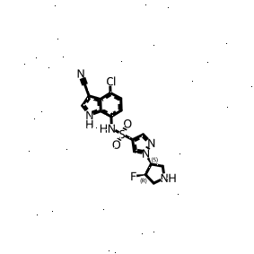 N#Cc1c[nH]c2c(NS(=O)(=O)c3cnn([C@H]4CNC[C@H]4F)c3)ccc(Cl)c12